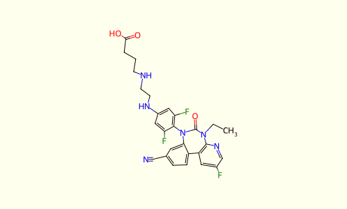 CCN1C(=O)N(c2c(F)cc(NCCNCCCC(=O)O)cc2F)c2cc(C#N)ccc2-c2cc(F)cnc21